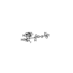 CCC(=O)NCCOCCOCC(=O)NCCCC[C@H](CC(=O)[C@H](N)CO)C(=O)C[C@H](C(N)=O)[C@@H](C)O